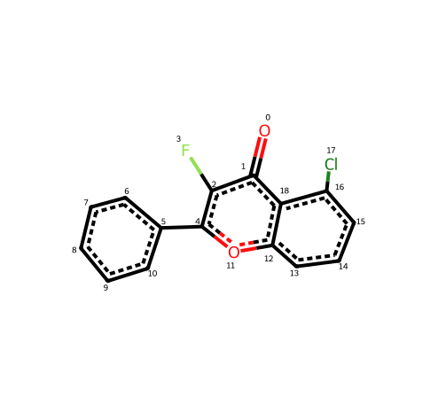 O=c1c(F)c(-c2ccccc2)oc2cccc(Cl)c12